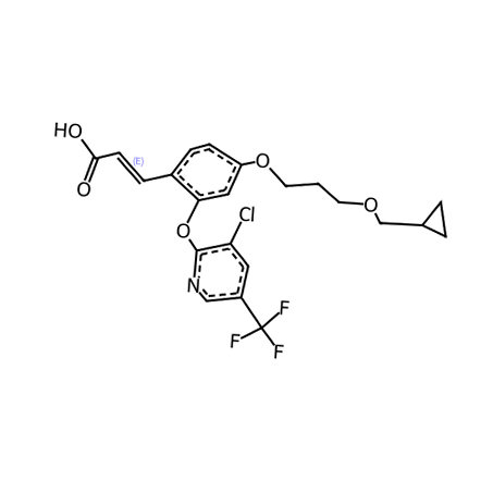 O=C(O)/C=C/c1ccc(OCCCOCC2CC2)cc1Oc1ncc(C(F)(F)F)cc1Cl